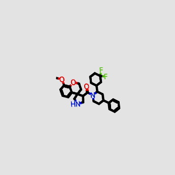 COc1cccc2c1OCCC21CNCC1C(=O)N1CCC(c2ccccc2)CC1C1CCCC(F)(F)C1